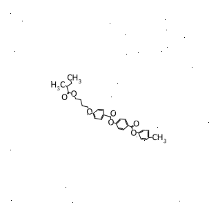 CCC(C)C(=O)OCCCCOc1ccc(C(=O)Oc2ccc(C(=O)Oc3ccc(C)cc3)cc2)cc1